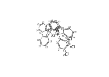 Clc1ccc([PH](O[PH](c2ccccc2)(c2ccccc2)c2ccccc2)(c2ccccc2)c2ccccc2)c(Cl)c1Cl